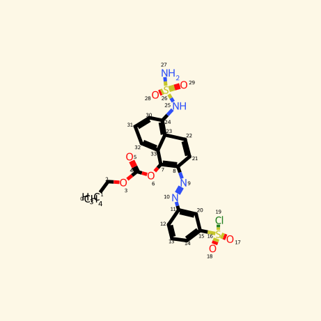 C.CCOC(=O)Oc1c(N=Nc2cccc(S(=O)(=O)Cl)c2)ccc2c(NS(N)(=O)=O)cccc12